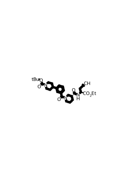 C#CC[C@H](NC(=O)[C@@H]1CCCN(C(=O)c2cccc(C3CCN(C(=O)OC(C)(C)C)CC3)c2)C1)C(=O)OCC